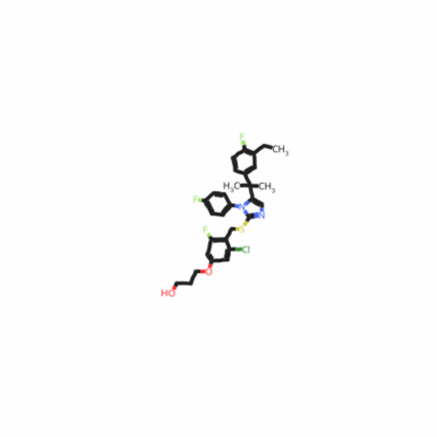 CCc1cc(C(C)(C)c2cnc(SCc3c(F)cc(OCCCO)cc3Cl)n2-c2ccc(F)cc2)ccc1F